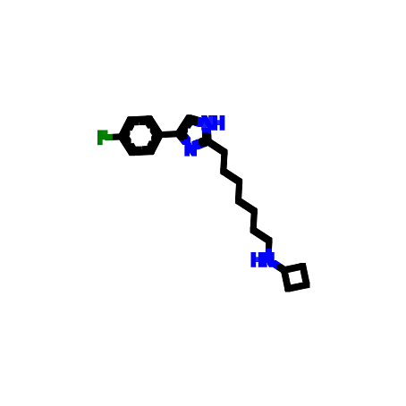 Fc1ccc(-c2c[nH]c(CCCCCCCNC3CCC3)n2)cc1